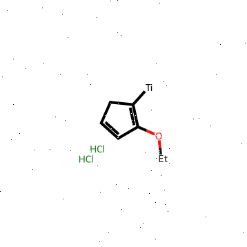 CCOC1=[C]([Ti])CC=C1.Cl.Cl